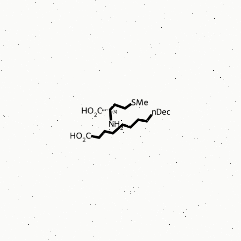 CCCCCCCCCCCCCCCCCC(=O)O.CSCC[C@H](N)C(=O)O